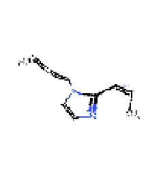 C=C=Cn1ccnc1/C=C\C